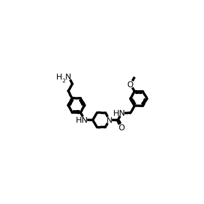 COc1cccc(CNC(=O)N2CCC(Nc3ccc(CCN)cc3)CC2)c1